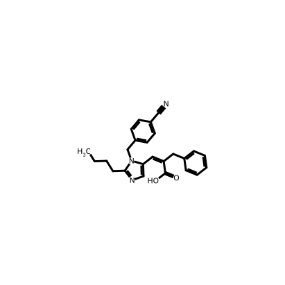 CCCCc1ncc(C=C(Cc2ccccc2)C(=O)O)n1Cc1ccc(C#N)cc1